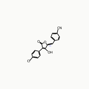 N#Cc1ccc(/C=C2\OC(=O)C(c3ccc(Cl)cc3)=C2O)cc1